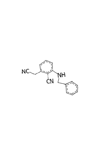 N#CCc1cccc(NCc2ccccc2)c1C#N